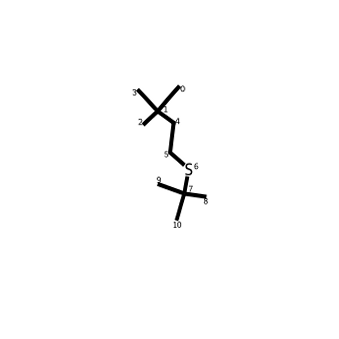 CC(C)(C)CCSC(C)(C)C